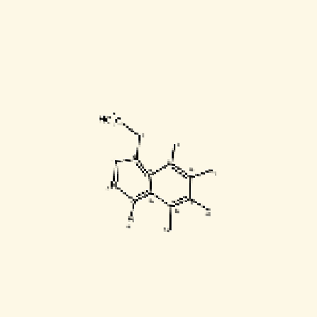 CCc1ncc(CC(=O)O)c2c(C)c(C)c(C)c(C)c12